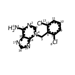 Nc1ncn(Cc2c(Cl)cccc2Cl)c2ncnc1-2